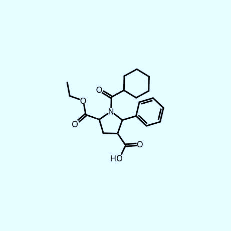 CCOC(=O)C1CC(C(=O)O)C(c2ccccc2)N1C(=O)C1CCCCC1